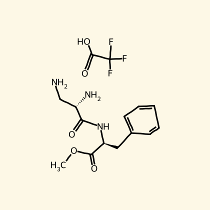 COC(=O)[C@H](Cc1ccccc1)NC(=O)[C@@H](N)CN.O=C(O)C(F)(F)F